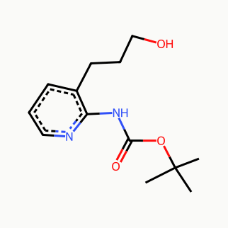 CC(C)(C)OC(=O)Nc1ncccc1CCCO